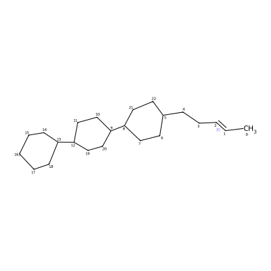 C/C=C/CCC1CCC(C2CCC(C3CC[CH]CC3)CC2)CC1